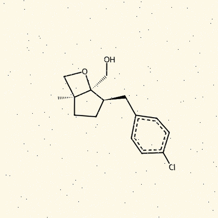 C[C@@]12CC[C@H](Cc3ccc(Cl)cc3)[C@]1(CO)OC2